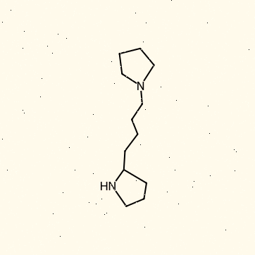 C(CCN1CCCC1)CC1CCCN1